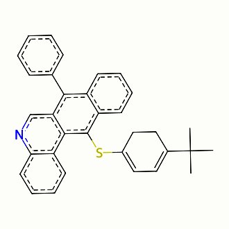 CC(C)(C)C1=CC=C(Sc2c3ccccc3c(-c3ccccc3)c3cnc4ccccc4c23)CC1